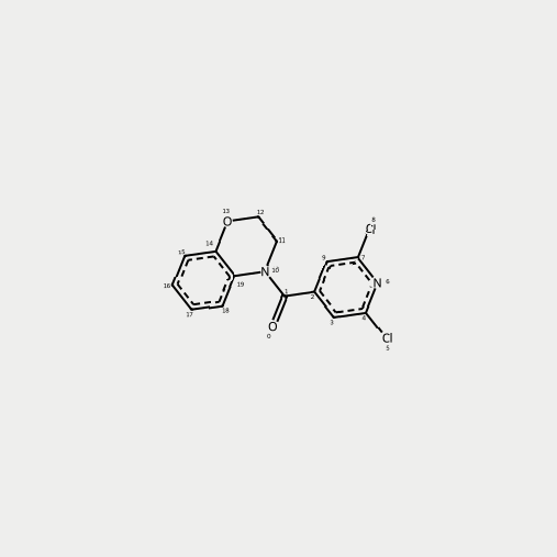 O=C(c1cc(Cl)nc(Cl)c1)N1CCOc2ccccc21